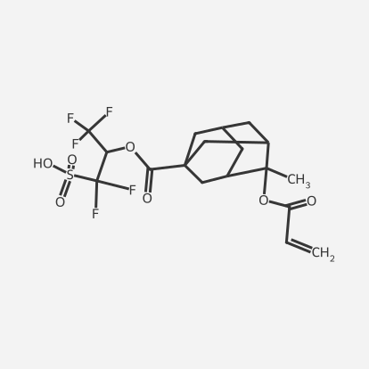 C=CC(=O)OC1(C)C2CC3CC1CC(C(=O)OC(C(F)(F)F)C(F)(F)S(=O)(=O)O)(C3)C2